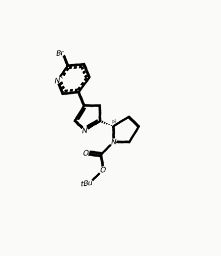 CC(C)(C)OC(=O)N1CCC[C@H]1C1=NC=C(c2ccc(Br)nc2)C1